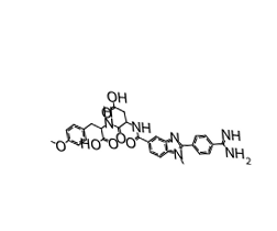 COc1ccc(CC(NC(=O)C(CC(=O)O)NC(=O)c2ccc3c(c2)nc(-c2ccc(C(=N)N)cc2)n3C)C(=O)O)cc1